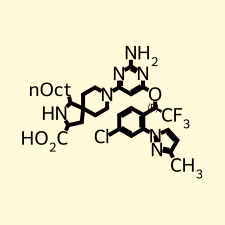 CCCCCCCCC1NC(C(=O)O)CC12CCN(c1cc(O[C@H](c3ccc(Cl)cc3-n3ccc(C)n3)C(F)(F)F)nc(N)n1)CC2